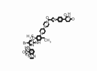 CCc1cc(Nc2ncc(Br)c(Nc3ccc4nccnc4c3P(C)(C)=O)n2)c(OC)cc1N1CCC(N2CCN(C(=O)C3CN(c4ccc(C5CCC(=O)NC5=O)cc4)C3)CC2)CC1